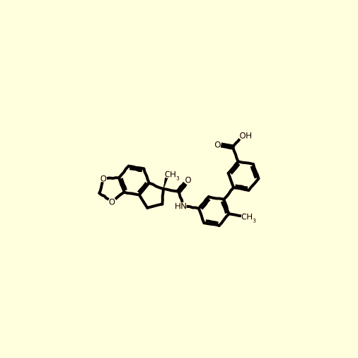 Cc1ccc(NC(=O)[C@]2(C)CCc3c2ccc2c3OCO2)cc1-c1cccc(C(=O)O)c1